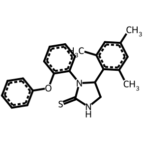 Cc1cc(C)c(C2CNC(=S)N2c2ccccc2Oc2ccccc2)c(C)c1